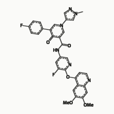 COc1cc2nccc(Oc3ncc(NC(=O)c4cn(-c5cnn(C)c5)cc(-c5ccc(F)cc5)c4=O)cc3F)c2cc1OC